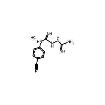 Cl.N#Cc1ccc(NC(=N)NNC(=N)N)cc1